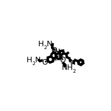 CC(CCCN(C)Cc1ccccc1)C1CC[C@H]2C3[C@H](OCCN)CC4C[C@H](OCCN)CC[C@]4(C)[C@H]3C[C@H](OCCN)[C@]12C